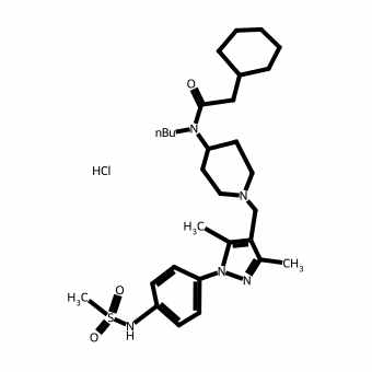 CCCCN(C(=O)CC1CCCCC1)C1CCN(Cc2c(C)nn(-c3ccc(NS(C)(=O)=O)cc3)c2C)CC1.Cl